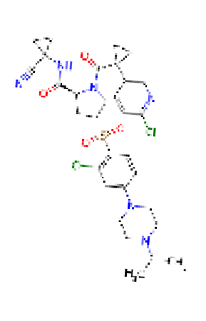 CC(C)N1CCN(c2ccc(S(=O)(=O)[C@@H]3C[C@@H](C(=O)NC4(C#N)CC4)N(C(=O)C4(c5ccc(Cl)nc5)CC4)C3)c(Cl)c2)CC1